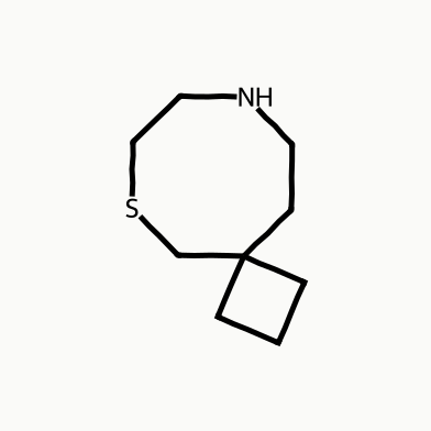 C1CC2(C1)CCNCCSC2